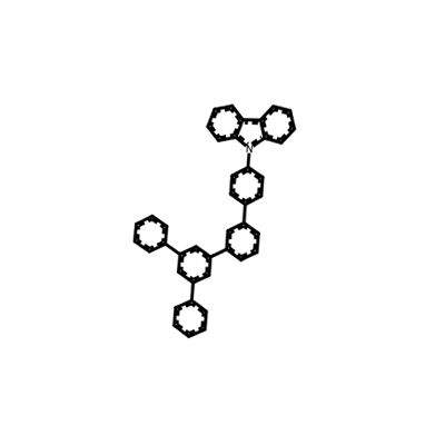 c1ccc(-c2cc(-c3ccccc3)cc(-c3cccc(-c4ccc(-n5c6ccccc6c6ccccc65)cc4)c3)c2)cc1